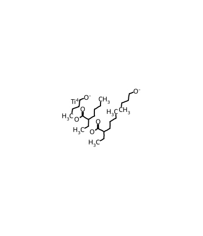 CCCCC(CC)C(=O)[O-].CCCCC(CC)C(=O)[O-].CCCC[O-].CCCC[O-].[Ti+4]